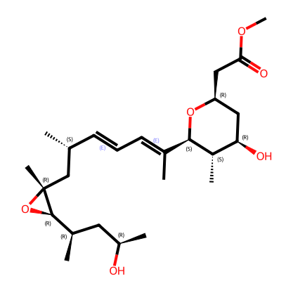 COC(=O)C[C@H]1C[C@@H](O)[C@H](C)[C@@H](/C(C)=C/C=C/[C@@H](C)C[C@@]2(C)O[C@@H]2[C@H](C)C[C@@H](C)O)O1